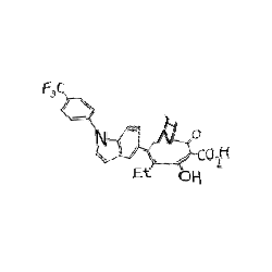 CCc1c(-c2ccc3c(ccn3-c3ccc(C(F)(F)F)cc3)c2)[nH]c(=O)c(C(=O)O)c1O